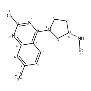 CCN[C@H]1CCN(c2nc(Cl)nc3cc(C(F)(F)F)ccc23)C1